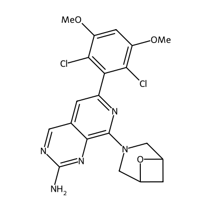 COc1cc(OC)c(Cl)c(-c2cc3cnc(N)nc3c(N3CC4CC(C3)O4)n2)c1Cl